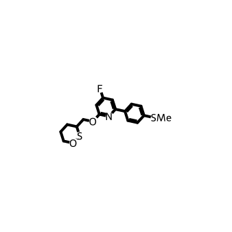 CSc1ccc(-c2cc(F)cc(OCC3CCCOS3)n2)cc1